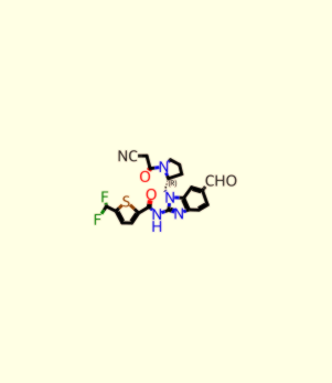 N#CCC(=O)N1CCC[C@@H]1Cn1c(NC(=O)c2ccc(C(F)F)s2)nc2ccc(C=O)cc21